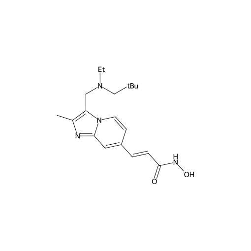 CCN(Cc1c(C)nc2cc(/C=C/C(=O)NO)ccn12)CC(C)(C)C